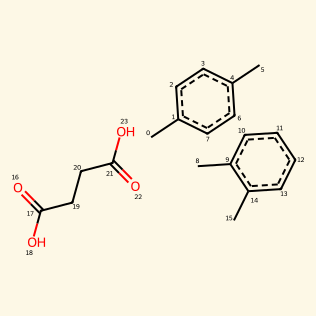 Cc1ccc(C)cc1.Cc1ccccc1C.O=C(O)CCC(=O)O